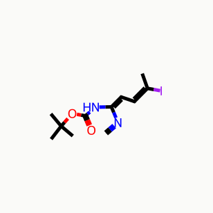 C=N/C(=C\C=C(/C)I)NC(=O)OC(C)(C)C